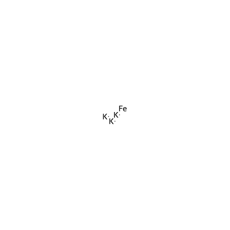 [Fe].[K].[K].[K]